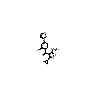 CCOC(=O)c1noc(C2CC2)c1C(=O)c1ccc(-n2ccnn2)cc1Cl